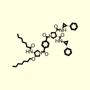 CCCCCCCO[C@@H]1CN(C(=O)c2ccc(C(=O)N3C[C@@H](C(=O)N[C@H]4C[C@@H]4c4ccccc4)[C@H](C(=O)N[C@H]4C[C@@H]4c4ccccc4)C3)cc2)C[C@H]1NC(=O)CCCCCC